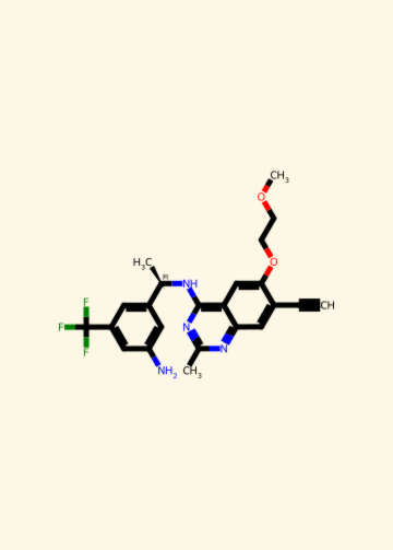 C#Cc1cc2nc(C)nc(N[C@H](C)c3cc(N)cc(C(F)(F)F)c3)c2cc1OCCOC